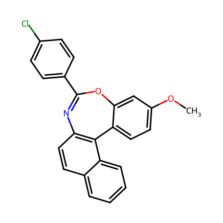 COc1ccc2c(c1)OC(c1ccc(Cl)cc1)=Nc1ccc3ccccc3c1-2